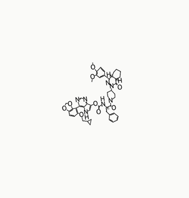 COc1ccc(C2=NN(C3CCN(C(=O)[C@@H](Cc4ccccc4)NC(=O)Oc4c[nH]c5c(-c6c(OCC7CC7)ccc7c6OCO7)ncnc45)CC3)C(=O)[C@@H]3CCCC[C@H]23)cc1OC